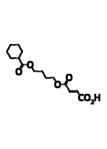 O=C(O)C=CC(=O)OCCCCOC(=O)C1CCCCC1